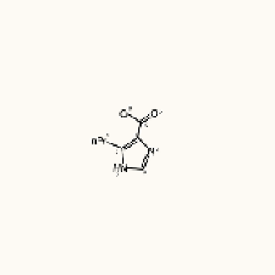 CCCc1[nH]cnc1C(=O)Cl